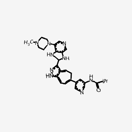 CC(C)C(=O)Nc1cncc(C2=CC=c3[nH]nc(C4Nc5cncc(N6CCN(C)CC6)c5N4)c3=CC2)c1